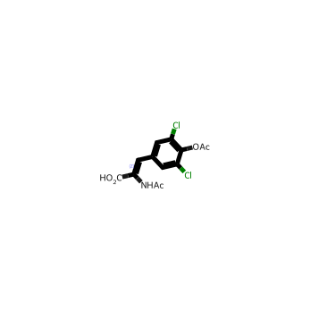 CC(=O)N/C(=C\c1cc(Cl)c(OC(C)=O)c(Cl)c1)C(=O)O